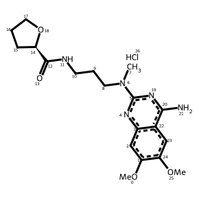 COc1cc2nc(N(C)CCCNC(=O)[C@H]3CCCO3)nc(N)c2cc1OC.Cl